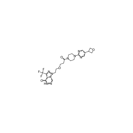 O=C(CCOCCn1nc(C(F)(F)F)c2c(=O)[nH]ncc21)N1CCN(c2ncc(C3COC3)cn2)CC1